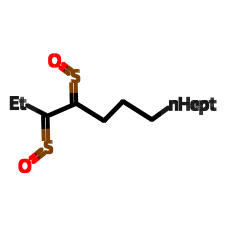 CCCCCCCCCCC(=S=O)C(CC)=S=O